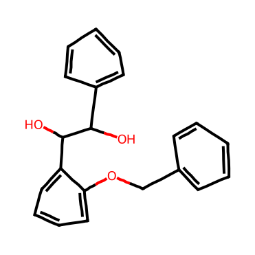 OC(c1ccccc1)C(O)c1ccccc1OCc1ccccc1